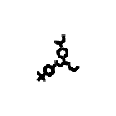 C/C=C\N=C(/CNc1ccc(C(C)(F)F)cc1)N1CCN(C(=O)CCl)CC1